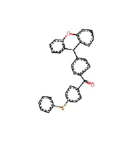 O=C(c1ccc(Sc2ccccc2)cc1)c1ccc(C2c3ccccc3Oc3ccccc32)cc1